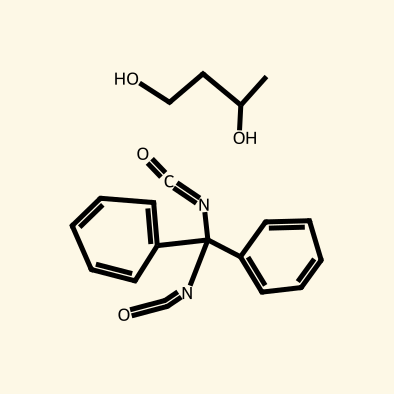 CC(O)CCO.O=C=NC(N=C=O)(c1ccccc1)c1ccccc1